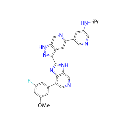 COc1cc(F)cc(-c2cncc3[nH]c(-c4n[nH]c5cnc(-c6cncc(NC(C)C)c6)cc45)nc23)c1